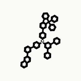 c1ccc(-c2cc(-c3ccccc3)cc(N(c3ccc(-c4cccc(-c5ccc6ccccc6c5)c4)cc3)c3ccc(-c4ccc5c(c4)C(c4ccccc4)(c4ccccc4)c4ccccc4-5)cc3)c2)cc1